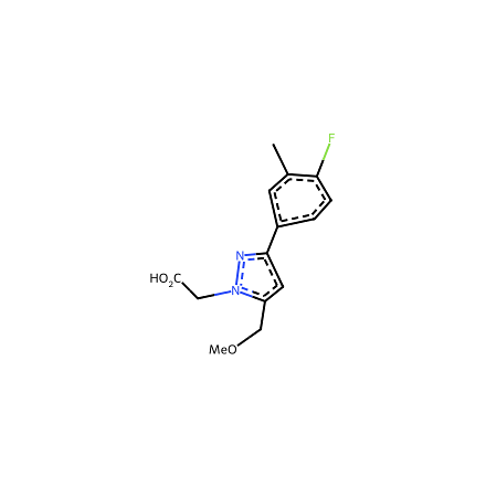 COCc1cc(-c2ccc(F)c(C)c2)nn1CC(=O)O